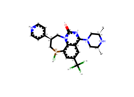 C[C@@H]1CN(c2nc(=O)n3c4c(cc(C(F)(F)F)cc24)[SH](Cl)C[C@@H](c2ccncc2)C3)C[C@H](C)N1